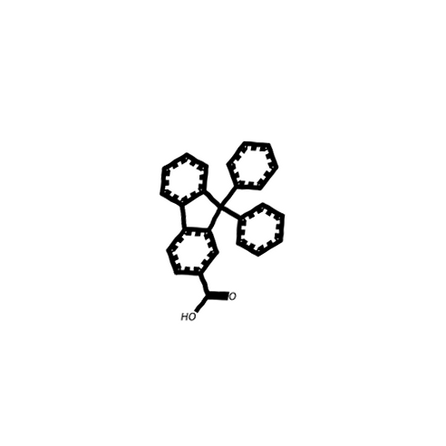 O=C(O)c1ccc2c(c1)C(c1ccccc1)(c1ccccc1)c1ccccc1-2